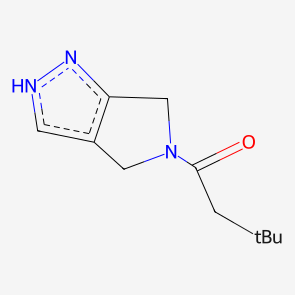 CC(C)(C)CC(=O)N1Cc2c[nH]nc2C1